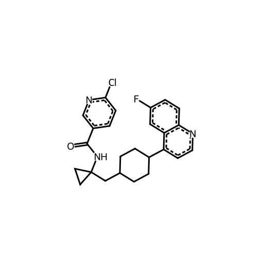 O=C(NC1(CC2CCC(c3ccnc4ccc(F)cc34)CC2)CC1)c1ccc(Cl)nc1